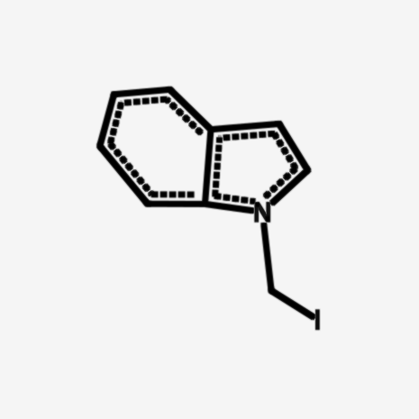 ICn1ccc2ccccc21